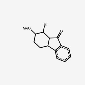 COC1CCC2c3ccccc3C(=O)C2C1Br